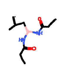 [CH2]C(C)CB(NC(=O)CC)NC(=O)CC